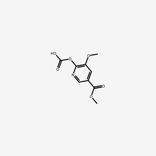 COC(=O)c1cnc(OC(=O)O)c(OC)c1